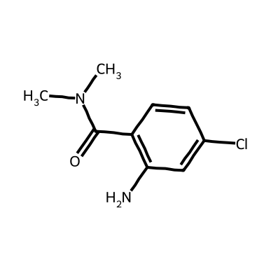 CN(C)C(=O)c1ccc(Cl)cc1N